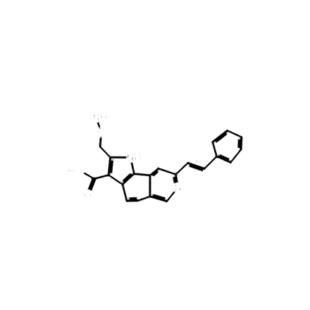 NOCc1[nH]c2c(ccc3cnc(/C=C/c4ccccc4)cc32)c1C(=O)O